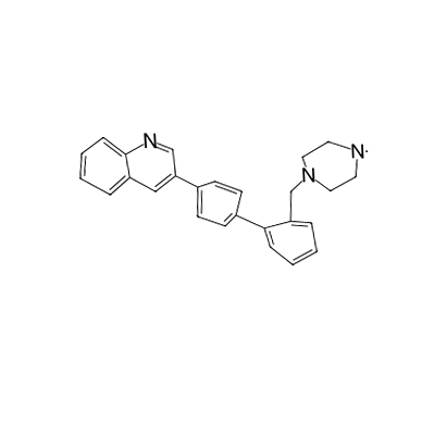 c1ccc(-c2ccc(-c3cnc4ccccc4c3)cc2)c(CN2CC[N]CC2)c1